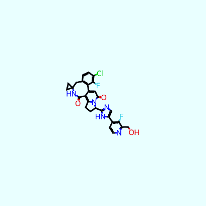 O=C1NC2(CC2)Cc2ccc(Cl)c(F)c2-c2cc(=O)n3c(c21)CCC3c1ncc(-c2ccnc(CO)c2F)[nH]1